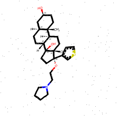 C[C@]12CC[C@H](O)C[C@@H]1CC[C@@H]1[C@@H]2CC[C@]2(C)[C@@](OCCN3CCCC3)(c3ccsc3)CC[C@]12O